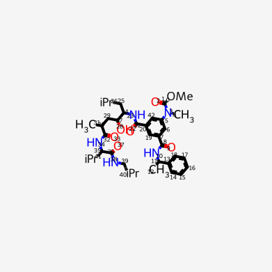 COC(=O)N(C)c1cc(C(=O)NC(C)c2ccccc2)cc(C(=O)NC(CC(C)C)C(O)CC(C)C(=O)NC(C(=O)NCC(C)C)C(C)C)c1